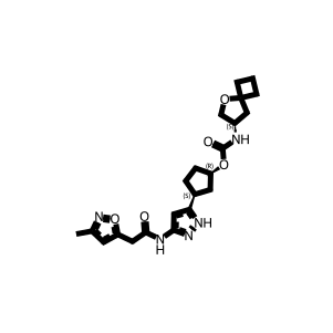 Cc1cc(CC(=O)Nc2cc([C@H]3CC[C@@H](OC(=O)N[C@@H]4COC5(CCC5)C4)C3)[nH]n2)on1